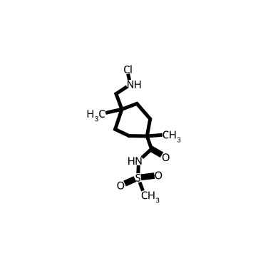 CC1(CNCl)CCC(C)(C(=O)NS(C)(=O)=O)CC1